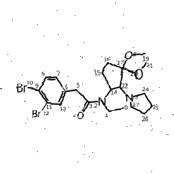 CCN(C(=O)Cc1ccc(Br)c(Br)c1)C1CCC(OC)(OC)C1N1CCCC1